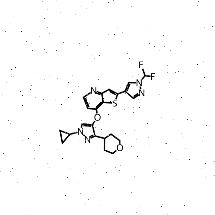 FC(F)n1cc(-c2cc3nccc(Oc4cn(C5CC5)nc4C4CCOCC4)c3s2)cn1